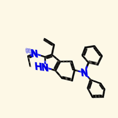 C=Cc1c(/N=C\C)[nH]c2ccc(N(c3ccccc3)c3ccccc3)cc12